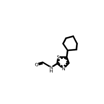 O=CNc1ncc(C2CCCCC2)s1